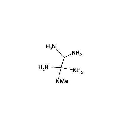 CNC(N)(N)C(N)N